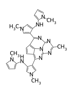 Cc1nc2nc(-c3cn(C)cc3Nc3cccn3C)c3ccc4c(-c5cn(C)cc5Nc5cccn5C)nc(n1)n2c34